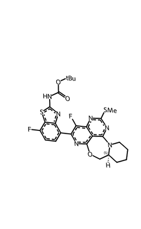 CSc1nc2c3c(nc(-c4ccc(F)c5sc(NC(=O)OC(C)(C)C)nc45)c(F)c3n1)OC[C@@H]1CCCCN21